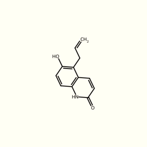 C=CCc1c(O)ccc2[nH]c(=O)ccc12